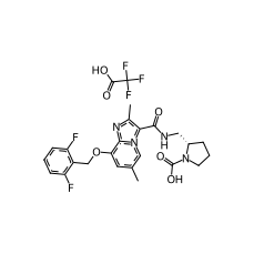 Cc1cc(OCc2c(F)cccc2F)c2nc(C)c(C(=O)NC[C@@H]3CCCN3C(=O)O)n2c1.O=C(O)C(F)(F)F